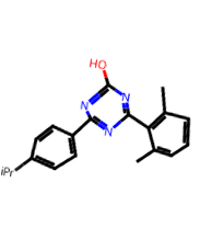 Cc1cccc(C)c1-c1nc(O)nc(-c2ccc(C(C)C)cc2)n1